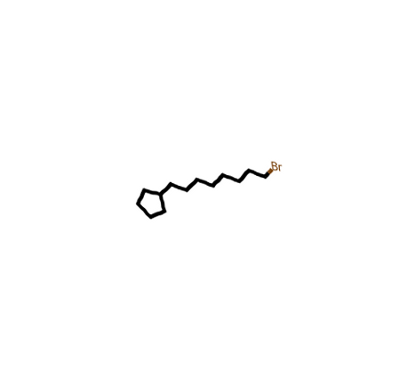 BrCCCCCCCCC1CCCC1